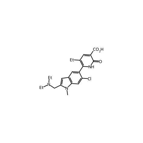 CCc1cc(C(=O)O)c(=O)[nH]c1-c1cc2cc(CN(CC)CC)n(C)c2cc1Cl